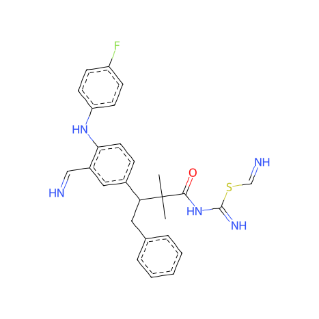 CC(C)(C(=O)NC(=N)SC=N)C(Cc1ccccc1)c1ccc(Nc2ccc(F)cc2)c(C=N)c1